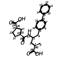 C[C@H](CC(Cc1ccc(-c2ccccc2)cc1)NC(=O)[C@H]1CC[C@@H](C(=O)O)C1)C(=O)O